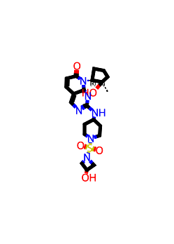 C[C@@]1(O)CCC[C@H]1n1c(=O)ccc2cnc(NC3CCN(S(=O)(=O)N4CC(O)C4)CC3)nc21